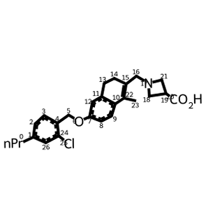 CCCc1ccc(COc2ccc3c(c2)CCC(CN2CC(C(=O)O)C2)=C3C)c(Cl)c1